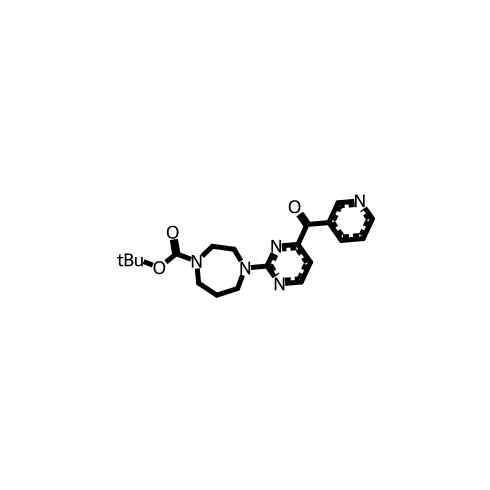 CC(C)(C)OC(=O)N1CCCN(c2nccc(C(=O)c3cccnc3)n2)CC1